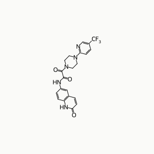 O=C(Nc1ccc2[nH]c(=O)ccc2c1)C(=O)N1CCN(c2ccc(C(F)(F)F)cn2)CC1